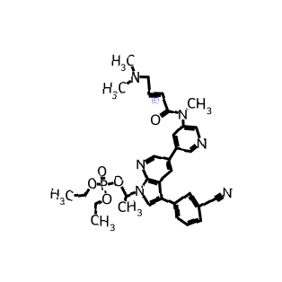 CCOP(=O)(OCC)OC(C)n1cc(-c2cccc(C#N)c2)c2cc(-c3cncc(N(C)C(=O)/C=C/CN(C)C)c3)cnc21